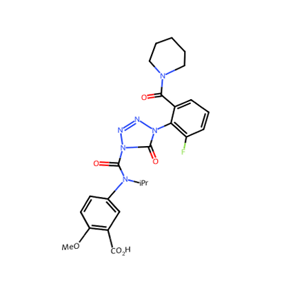 COc1ccc(N(C(=O)n2nnn(-c3c(F)cccc3C(=O)N3CCCCC3)c2=O)C(C)C)cc1C(=O)O